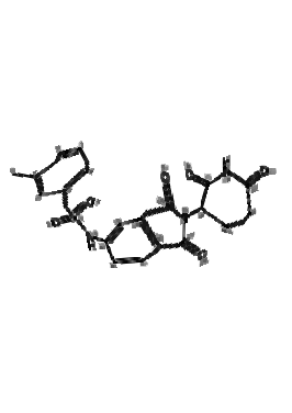 Cc1cccc(S(=O)(=O)Nc2ccc3c(c2)C(=O)N(C2CCC(=O)NC2=O)C3=O)c1